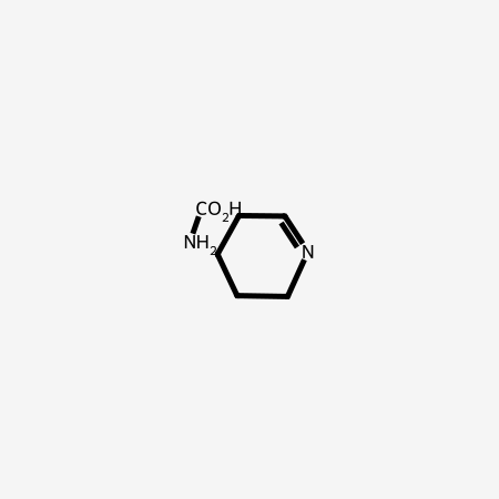 C1=NCCCC1.NC(=O)O